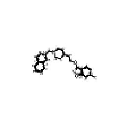 Cc1ccc2c(OCCC3CCN(Cc4ccc5ccccc5c4)CC3)noc2c1